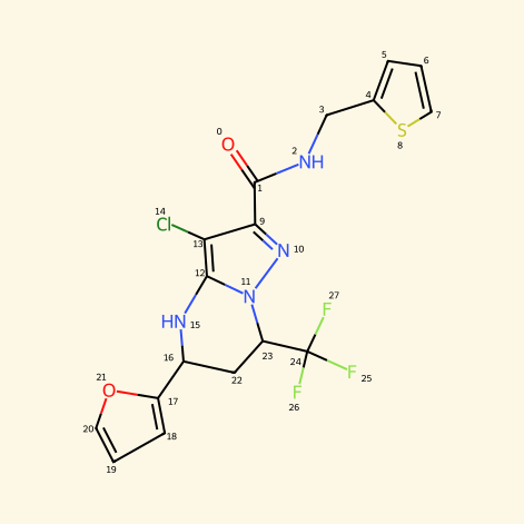 O=C(NCc1cccs1)c1nn2c(c1Cl)NC(c1ccco1)CC2C(F)(F)F